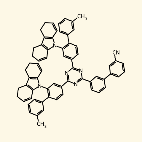 Cc1cccc(-c2ccc(-c3nc(-c4cccc(-c5cccc(C#N)c5)c4)nc(-c4ccc(-c5cccc(C)c5)c(-n5c6c(c7c5C=CCC7)CCC=C6)c4)n3)cc2-n2c3c(c4c2C=CCC4)CCC=C3)c1